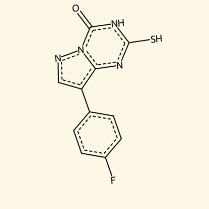 O=c1[nH]c(S)nc2c(-c3ccc(F)cc3)cnn12